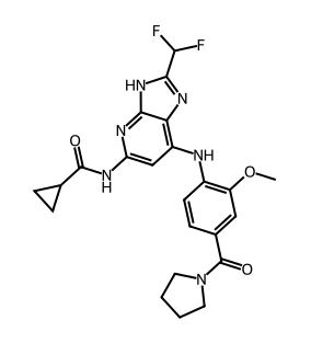 COc1cc(C(=O)N2CCCC2)ccc1Nc1cc(NC(=O)C2CC2)nc2[nH]c(C(F)F)nc12